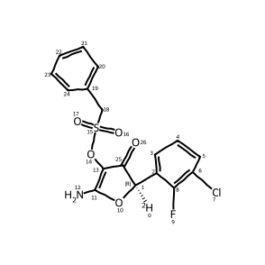 [2H][C@]1(c2cccc(Cl)c2F)OC(N)=C(OS(=O)(=O)Cc2ccccc2)C1=O